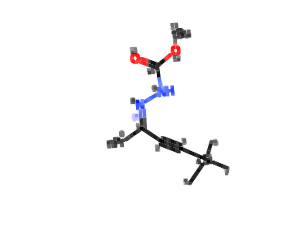 CCC/C(C#C[Si](C)(C)C)=N/NC(=O)OC(C)(C)C